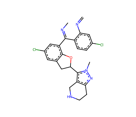 C=Nc1cc(Cl)ccc1/C(=N\C)c1cc(Cl)cc2c1OC(c1c3c(nn1C)CCNC3)C2